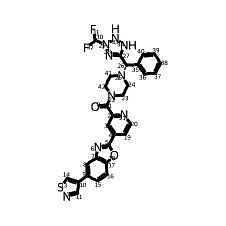 O=C(c1cc(-c2nc3cc(-c4cnsc4)ccc3o2)ccn1)N1CCN([C@H](C2=NN(C(F)F)NN2)c2ccccc2)CC1